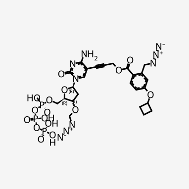 [N-]=[N+]=NCO[C@@H]1C[C@H](n2cc(C#CCOC(=O)c3ccc(OC4CCC4)cc3CN=[N+]=[N-])c(N)nc2=O)O[C@@H]1COP(=O)(O)OP(=O)(O)OP(=O)(O)O